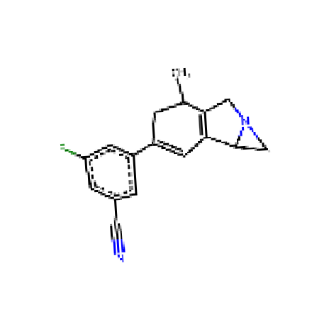 CC1CC(c2cc(F)cc(C#N)c2)=CC2=C1CN1CC21